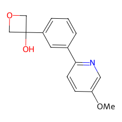 COc1ccc(-c2cccc(C3(O)COC3)c2)nc1